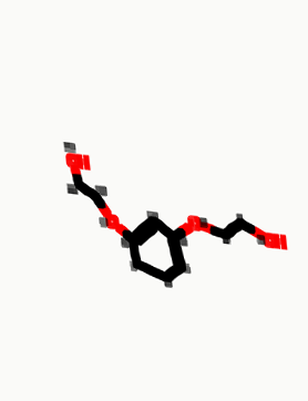 OCCOC1=CCCC(OCCO)=C1